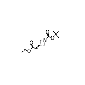 CCOC(=O)C=C1CN(C(=O)OC(C)(C)C)C1